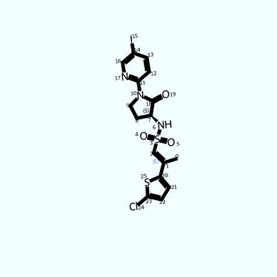 C/C(=C\S(=O)(=O)N[C@H]1CCN(c2ccc(I)cn2)C1=O)c1ccc(Cl)s1